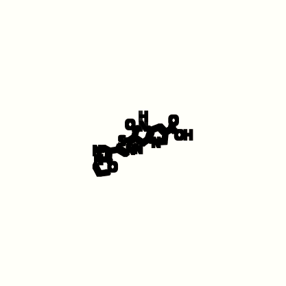 O=C(O)c1cnc2c(c1)[nH]c(=O)c1c2nn2cc(-c3cnn4c3OCCC4)sc12